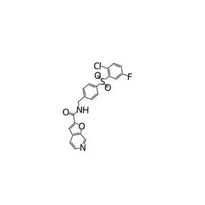 O=C(NCc1ccc(S(=O)(=O)c2cc(F)ccc2Cl)cc1)c1cc2ccncc2o1